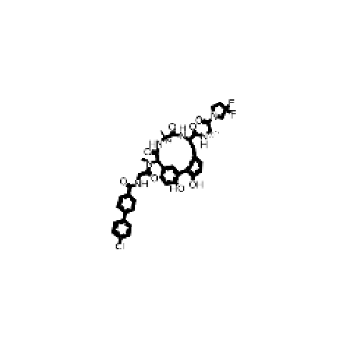 C[C@@H]1NC(=O)C(N(C)C(=O)CNC(=O)c2ccc(-c3ccc(Cl)cc3)cc2)c2ccc(O)c(c2)-c2cc(ccc2O)CC(C(=O)N[C@@H](C)C(=O)N2CCC(F)(F)C2)NC1=O